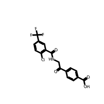 O=C(O)c1ccc(C(=O)CNC(=O)c2cc(C(F)(F)F)ccc2Cl)cc1